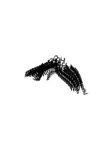 O=C(O)O.O=C(O)O.O=C(O)O.[MgH2].[MgH2].[MgH2].[MgH2].[MgH2].[MgH2].[MgH2].[MgH2].[MgH2].[MgH2].[MgH2].[MgH2].[MgH2].[MgH2].[MgH2].[MgH2].[MgH2].[MgH2].[MgH2].[MgH2].[MgH2].[MgH2].[MgH2].[MgH2].[MgH2]